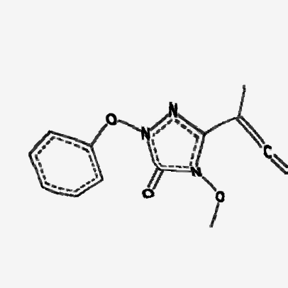 COn1c(C(C)=C=O)nn(Oc2ccccc2)c1=O